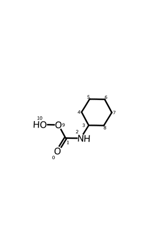 O=C(NC1CCCCC1)OO